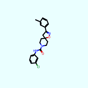 Cc1cccc(C2=NOC3(CCN(C(=O)Nc4cccc(Cl)c4)CC3)C2)c1